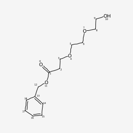 O=C(CCOCCOCCO)OCc1ccccc1